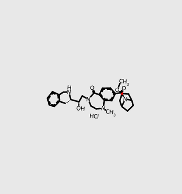 COC1CC2CCC(C1)N2C(=O)c1ccc2c(c1)N(C)CCN(C[C@@H](O)[C@@H]1Cc3ccccc3CN1)C2=O.Cl